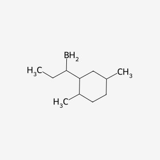 BC(CC)C1CC(C)CCC1C